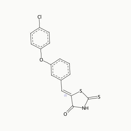 O=C1NC(=S)S/C1=C\c1cccc(Oc2ccc(Cl)cc2)c1